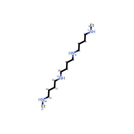 CCNCCCCNCCCCNCCCCNCC